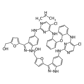 CPC.OCc1ccc(-c2n[nH]c3ccc(Nc4ncc(Cl)c(Nc5ccccc5Oc5ccccc5Nc5nc(Nc6ccc7[nH]nc(-c8ccc(CO)o8)c7c6)ncc5Cl)n4)cc23)o1